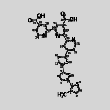 Cc1ccsc1-c1ccc(-c2ccc(-c3ccnc(-c4cc(C(=O)O)cc(-c5cc(C(=O)O)ccn5)n4)c3)s2)s1